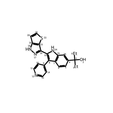 CCC(O)(CC)c1ccc2c(-c3ccncc3)c(-c3n[nH]c4ccsc34)[nH]c2c1